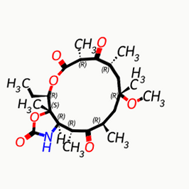 CC[C@H]1OC(=O)[C@H](C)C(=O)[C@H](C)C[C@](C)(OC)C[C@@H](C)C(=O)[C@H](C)[C@H]2NC(=O)O[C@@]21C